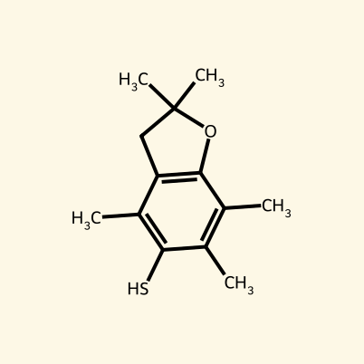 Cc1c(C)c2c(c(C)c1S)CC(C)(C)O2